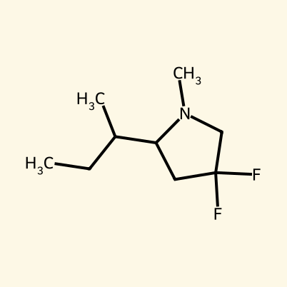 CCC(C)C1CC(F)(F)CN1C